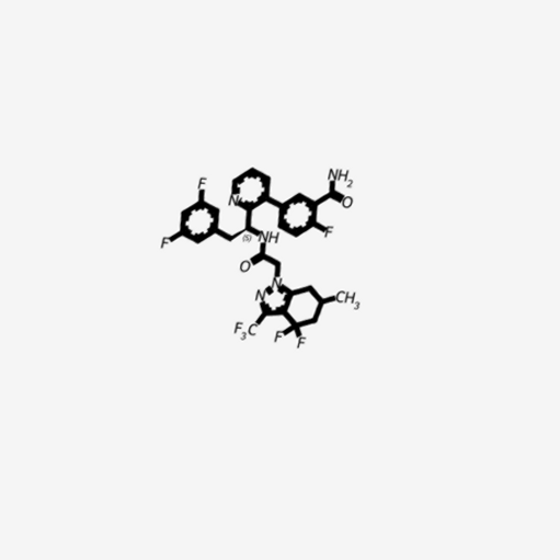 CC1Cc2c(c(C(F)(F)F)nn2CC(=O)N[C@@H](Cc2cc(F)cc(F)c2)c2ncccc2-c2ccc(F)c(C(N)=O)c2)C(F)(F)C1